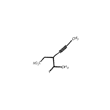 CC#CC(CC(=O)O)C(C)I